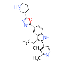 Cc1cc(-c2[nH]c3ccc(-c4nnc([C@H]5CCCNC5)o4)cc3c2C(C)C)ccn1